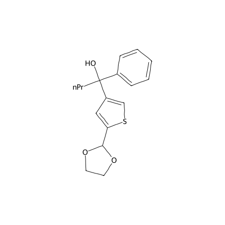 [CH2]CCC(O)(c1ccccc1)c1csc(C2OCCO2)c1